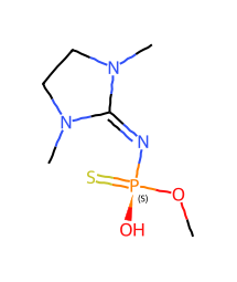 CO[P@](O)(=S)N=C1N(C)CCN1C